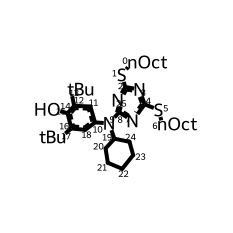 CCCCCCCCSc1nc(SCCCCCCCC)nc(N(c2cc(C(C)(C)C)c(O)c(C(C)(C)C)c2)C2CCCCC2)n1